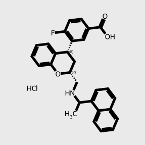 CC(NC[C@H]1C[C@@H](c2cc(C(=O)O)ccc2F)c2ccccc2O1)c1cccc2ccccc12.Cl